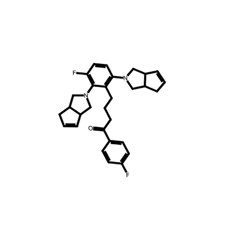 O=C(CCCc1c(N2CC3C=CCC3C2)ccc(F)c1N1CC2C=CCC2C1)c1ccc(F)cc1